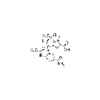 CC(=O)Nc1ccc(C(N)=O)cc1.Cc1cc(C(=O)O)nn1C(C)(C)C